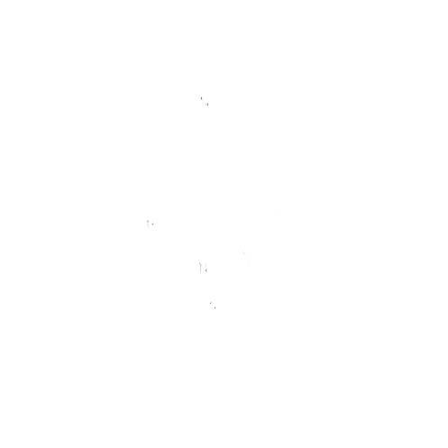 Clc1ccc2ncc(C3(c4ccc5ncccc5c4)SCCS3)n2n1